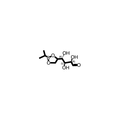 CC(C)B1OCC([C@H](O)[C@H](O)[C@@H](O)C=O)O1